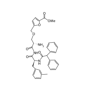 COC(=O)c1ccc(COC[C@H](N)C(=O)NC(=O)[C@H](Cc2cccc(C)c2)NC(=O)C(c2ccccc2)c2ccccc2)o1